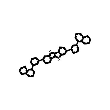 c1cc(-c2ccc3c(c2)sc2c4ccc(-c5cccc(-c6cccc7ccccc67)c5)cc4sc32)cc(-c2cccc3ccccc23)c1